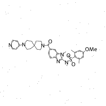 COc1cc(C)c(S(=O)(=O)N(C)c2nc3ccc(C(=O)N4CCC5(CC4)CCN(c4ccncc4)CC5)cc3n2C)c(C)c1